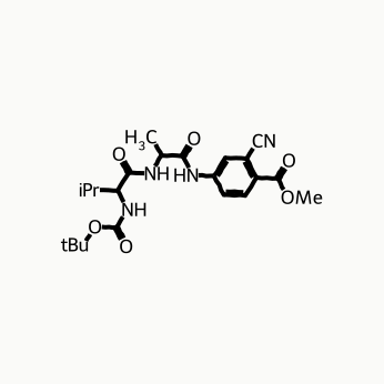 COC(=O)c1ccc(NC(=O)C(C)NC(=O)C(NC(=O)OC(C)(C)C)C(C)C)cc1C#N